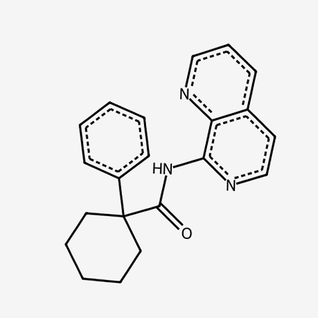 O=C(Nc1nccc2cccnc12)C1(c2ccccc2)CCCCC1